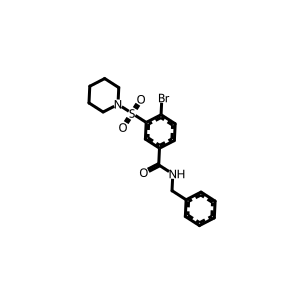 O=C(NCc1ccccc1)c1ccc(Br)c(S(=O)(=O)N2CCCCC2)c1